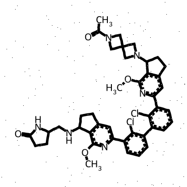 COc1nc(-c2cccc(-c3cccc(-c4cc5c(c(OC)n4)C(N4CC6(CN(C(C)=O)C6)C4)CC5)c3Cl)c2Cl)cc2c1C(NCC1CCC(=O)N1)CC2